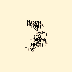 Cc1ncsc1-c1ccc([C@H](CO)NC(=O)[C@@H]2C[C@@H](O)CN2C(=O)[C@@H](NC(=O)COCCN2[C@H](C)CN(c3ccc(C(=O)NC4C(C)(C)C(Oc5ccc(C#N)c(Cl)c5)C4(C)C)cn3)C[C@@H]2C)C(C)(C)C)cc1